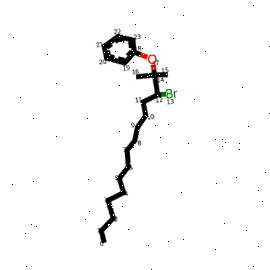 CCCCCCCCCCCCC(Br)C(C)(C)Oc1ccccc1